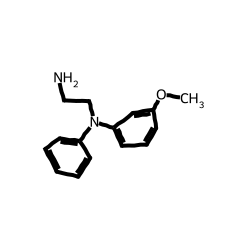 COc1cccc(N(CCN)c2ccccc2)c1